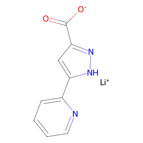 O=C([O-])c1cc(-c2ccccn2)[nH]n1.[Li+]